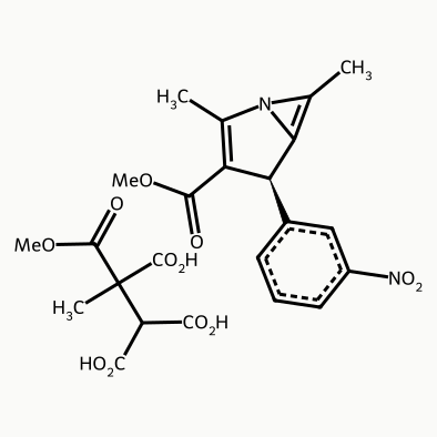 COC(=O)C(C)(C(=O)O)C(C(=O)O)C(=O)O.COC(=O)C1=C(C)N2C(C)=C2[C@H]1c1cccc([N+](=O)[O-])c1